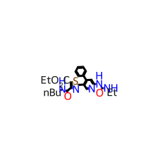 CCCCNC(=O)c1nc(-c2cnc(NC(=O)NCC)cc2-c2ccccc2)sc1C(=O)OCC